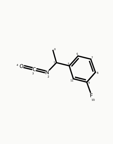 CC(N=C=O)c1cccc(F)c1